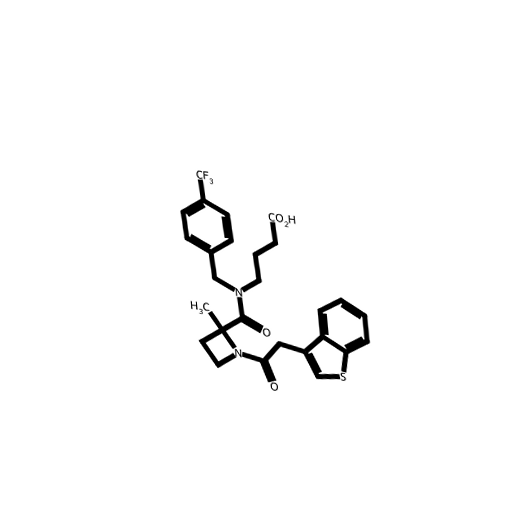 CC1(C(=O)N(CCCC(=O)O)Cc2ccc(C(F)(F)F)cc2)CCN1C(=O)Cc1csc2ccccc12